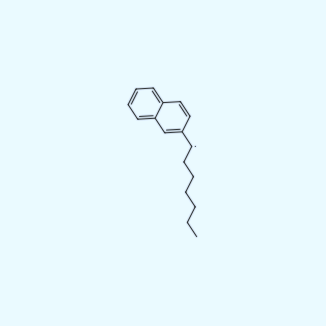 CCCCCC[CH]c1ccc2ccccc2c1